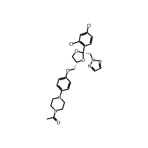 CC(=O)N1CCN(c2ccc(OC[C@@H]3CO[C@@](Cn4nccn4)(c4ccc(Cl)cc4Cl)O3)cc2)CC1